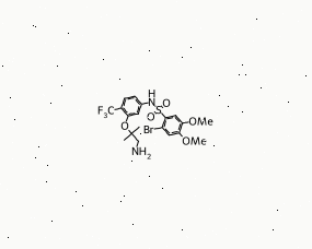 COc1cc(Br)c(S(=O)(=O)Nc2ccc(C(F)(F)F)c(OC(C)(C)CN)c2)cc1OC